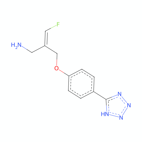 NC/C(=C/F)COc1ccc(-c2nnn[nH]2)cc1